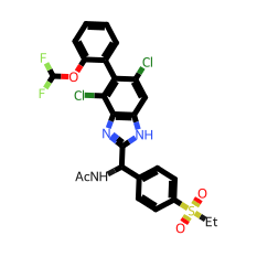 CCS(=O)(=O)c1ccc(C(NC(C)=O)c2nc3c(Cl)c(-c4ccccc4OC(F)F)c(Cl)cc3[nH]2)cc1